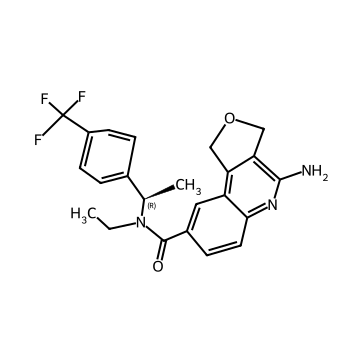 CCN(C(=O)c1ccc2nc(N)c3c(c2c1)COC3)[C@H](C)c1ccc(C(F)(F)F)cc1